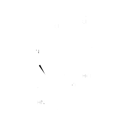 Cl.N#C[C@@H]1CNCCO[C@H]1c1ccc(Cl)c(Cl)c1